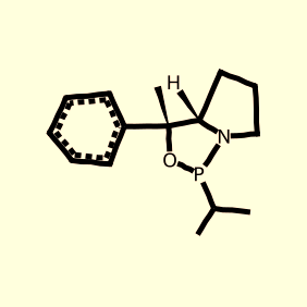 CC(C)P1O[C@](C)(c2ccccc2)[C@@H]2CCCN21